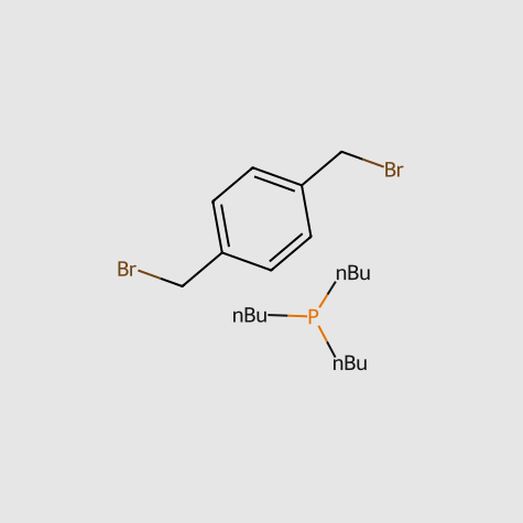 BrCc1ccc(CBr)cc1.CCCCP(CCCC)CCCC